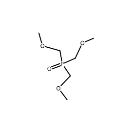 COCP(=O)(COC)COC